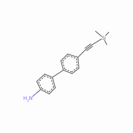 C[Si](C)(C)C#Cc1ccc(-c2ccc(N)cc2)cc1